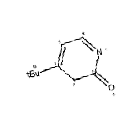 CC(C)(C)C1=CC=NC(=O)C1